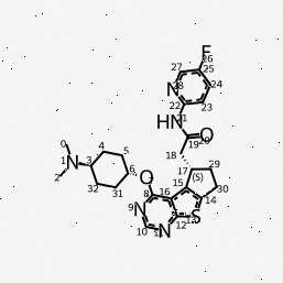 CN(C)[C@H]1CC[C@H](Oc2ncnc3sc4c(c23)[C@H](CC(=O)Nc2ccc(F)cn2)CC4)CC1